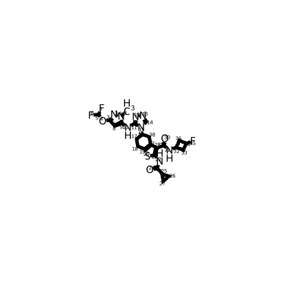 Cn1nc(OC(F)F)cc1Nc1nncn1[C@H]1CCc2sc(NC(=O)C3CC3)c(C(=O)NC3CC(F)C3)c2C1